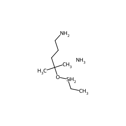 CC[SiH2]OC(C)(C)CCCN.N